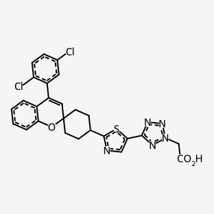 O=C(O)Cn1nnc(-c2cnc(C3CCC4(C=C(c5cc(Cl)ccc5Cl)c5ccccc5O4)CC3)s2)n1